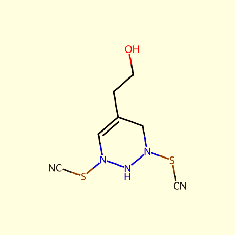 N#CSN1C=C(CCO)CN(SC#N)N1